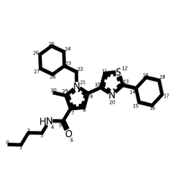 CCCCNC(=O)c1cc(-c2csc(C3CCCCC3)n2)n(CC2CCCCC2)c1C